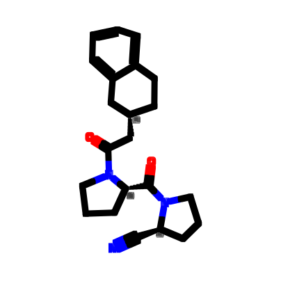 N#C[C@@H]1CCCN1C(=O)[C@@H]1CCCN1C(=O)C[C@H]1CCc2ccccc2C1